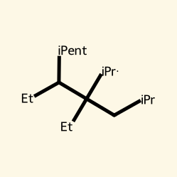 CCCC(C)C(CC)C(CC)(CC(C)C)[C](C)C